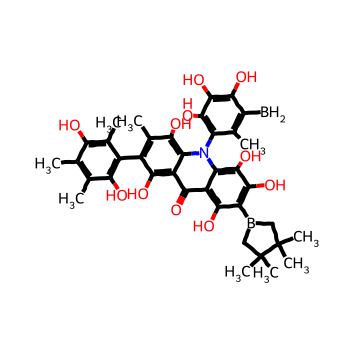 Bc1c(C)c(-n2c3c(O)c(C)c(-c4c(C)c(O)c(C)c(C)c4O)c(O)c3c(=O)c3c(O)c(B4CC(C)(C)C(C)(C)C4)c(O)c(O)c32)c(O)c(O)c1O